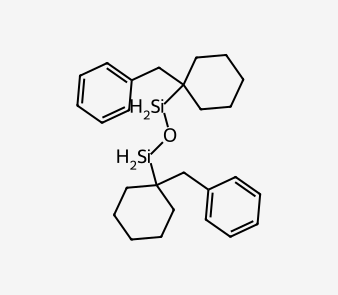 c1ccc(CC2([SiH2]O[SiH2]C3(Cc4ccccc4)CCCCC3)CCCCC2)cc1